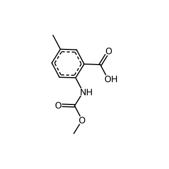 COC(=O)Nc1ccc(C)cc1C(=O)O